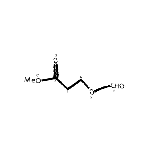 COC(=O)CCO[C]=O